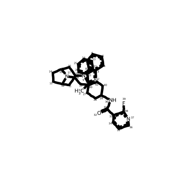 Cc1nc2ccccc2n1C1CC2CCC(C1)N2CCC1(c2ccccc2)CCC(NC(=O)c2cccnc2F)CC1